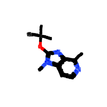 Cc1nccc2c1nc(O[Si](C)(C)C(C)(C)C)n2C